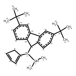 C[SiH](C)[Zr]([C]1=CC=CC1)[CH]1c2ccc(C(C)(C)C)cc2-c2cc(C(C)(C)C)ccc21